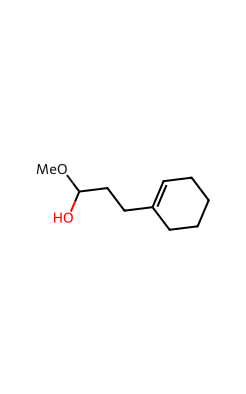 COC(O)CCC1=CCCCC1